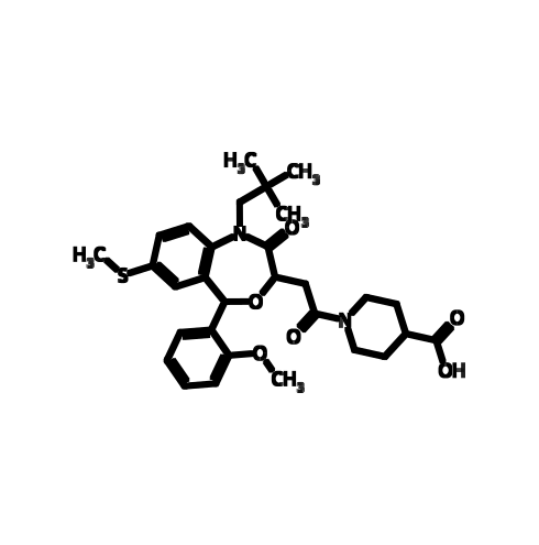 COc1ccccc1C1OC(CC(=O)N2CCC(C(=O)O)CC2)C(=O)N(CC(C)(C)C)c2ccc(SC)cc21